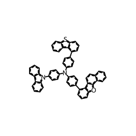 c1ccc2c(c1)ccc1c2oc2cccc(-c3ccc(N(c4ccc(-c5cccc6sc7ccccc7c56)cc4)c4ccc(-n5c6ccccc6c6ccccc65)cc4)cc3)c21